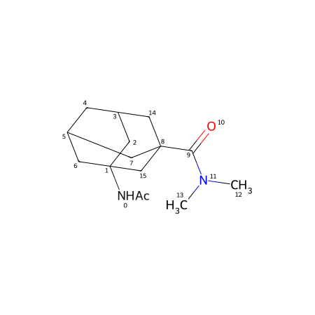 CC(=O)NC12CC3CC(C1)CC(C(=O)N(C)C)(C3)C2